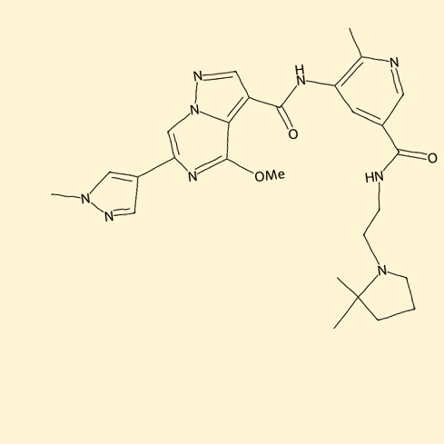 COc1nc(-c2cnn(C)c2)cn2ncc(C(=O)Nc3cc(C(=O)NCCN4CCCC4(C)C)cnc3C)c12